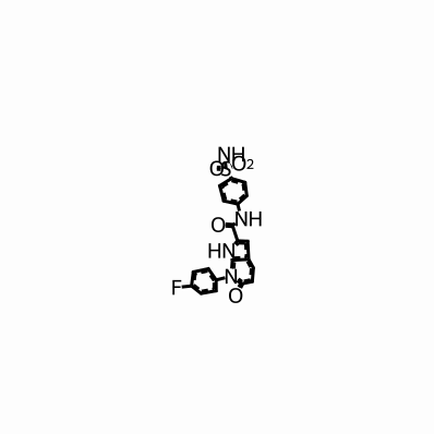 NS(=O)(=O)c1ccc(NC(=O)c2cc3ccc(=O)n(-c4ccc(F)cc4)c3[nH]2)cc1